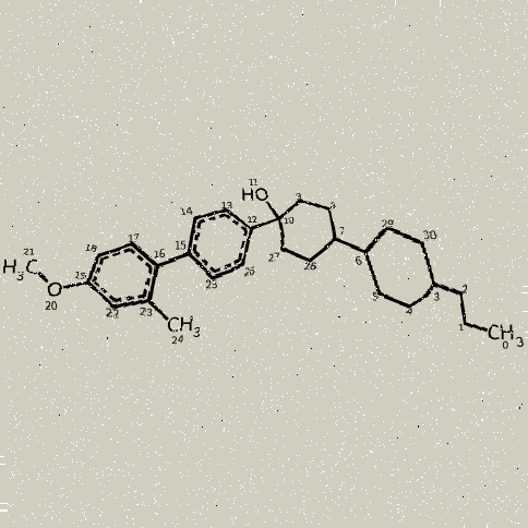 CCCC1CCC(C2CCC(O)(c3ccc(-c4ccc(OC)cc4C)cc3)CC2)CC1